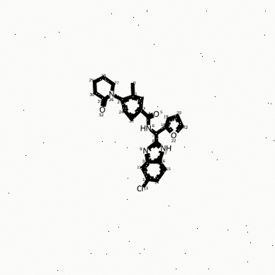 Cc1cc(C(=O)NC(c2nc3cc(Cl)ccc3[nH]2)c2ccco2)ccc1N1CCCCC1=O